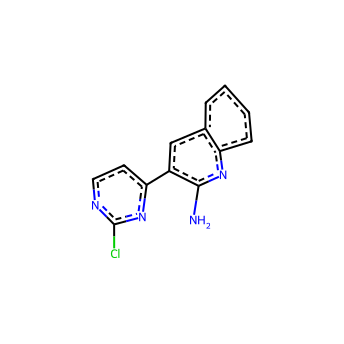 Nc1nc2ccccc2cc1-c1ccnc(Cl)n1